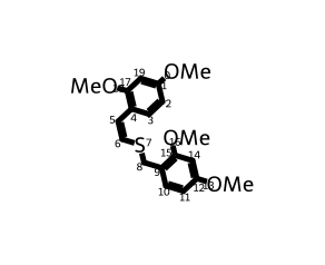 COc1ccc(/C=C\SCc2ccc(OC)cc2OC)c(OC)c1